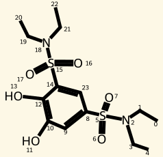 CCN(CC)S(=O)(=O)c1cc(O)c(O)c(S(=O)(=O)N(CC)CC)c1